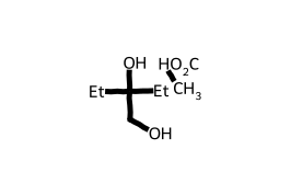 CC(=O)O.CCC(O)(CC)CO